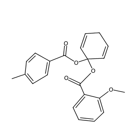 COc1ccccc1C(=O)OC1(OC(=O)c2ccc(C)cc2)C=CCC=C1